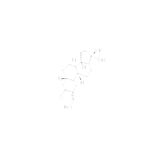 C[C@]12C/C(=C/O)C(=O)C[C@@H]1CC[C@@H]1[C@@H]2CC[C@@]2(C)[C@H]1CC[C@@]2(O)C(F)(F)F